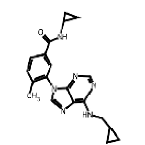 Cc1ccc(C(=O)NC2CC2)cc1-n1cnc2c(NCC3CC3)ncnc21